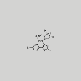 Cc1nc(C(=O)N2C[C@@H]3C[C@@H]3[C@H]2CN)c(-c2ccc(Br)cc2)s1